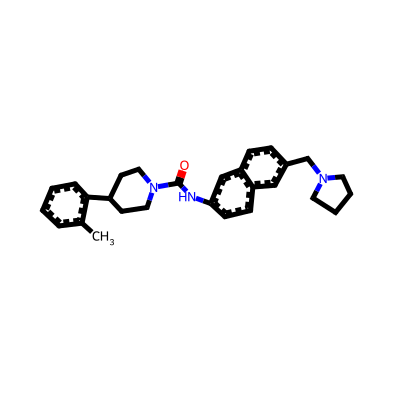 Cc1ccccc1C1CCN(C(=O)Nc2ccc3cc(CN4CCCC4)ccc3c2)CC1